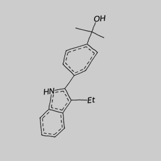 CCc1c(-c2ccc(C(C)(C)O)cc2)[nH]c2ccccc12